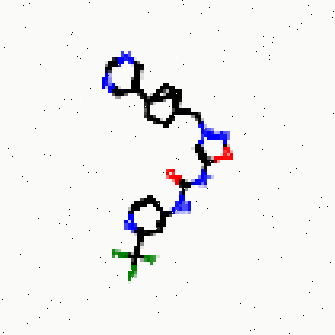 O=C([N-]c1c[n+](CC23CCC(c4cncnc4)(CC2)C3)no1)Nc1ccnc(C(F)(F)F)c1